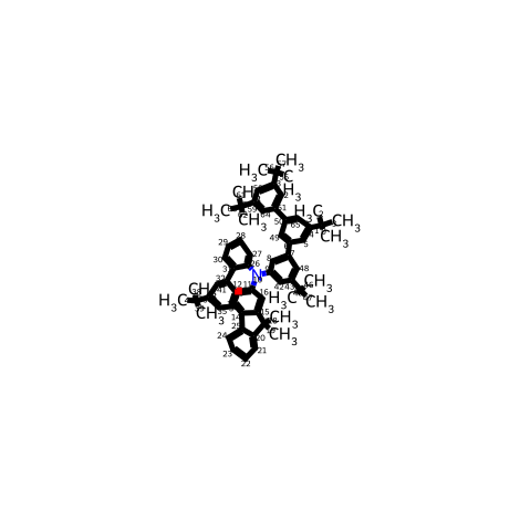 CC(C)(C)c1cc(-c2cc(N(c3ccc4c(c3)C(C)(C)c3ccccc3-4)c3ccccc3-c3cccc(C(C)(C)C)c3)cc(C(C)(C)C)c2)cc(-c2cc(C(C)(C)C)cc(C(C)(C)C)c2)c1